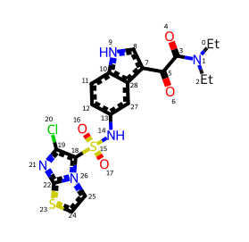 CCN(CC)C(=O)C(=O)c1c[nH]c2ccc(NS(=O)(=O)c3c(Cl)nc4sccn34)cc12